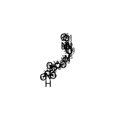 O=C1CCC(N2Cc3cc(O[C@H]4CCN(Cc5ccc6nc([C@H]7CCCOC7)ncc6c5)C4)ccc3C2=O)C(=O)N1